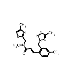 Cc1csc(CN(C)C(=O)/C=C/c2ccc(C(F)(F)F)cc2Cn2nnc(C)n2)n1